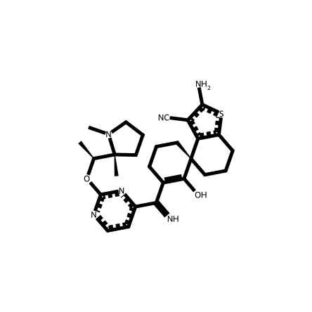 C[C@H](Oc1nccc(C(=N)C2=C(O)[C@@]3(CCC2)CCCc2sc(N)c(C#N)c23)n1)[C@@]1(C)CCCN1C